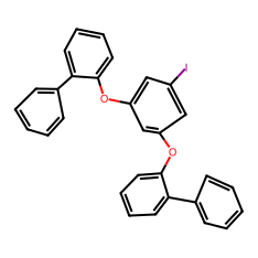 Ic1cc(Oc2ccccc2-c2ccccc2)cc(Oc2ccccc2-c2ccccc2)c1